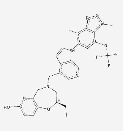 CC[C@@H]1CN(Cc2c[c]cc3c2C=C[SH]3c2cc(OC(F)(F)F)c3c(nnn3C)c2C)Cc2nc(O)ccc2O1